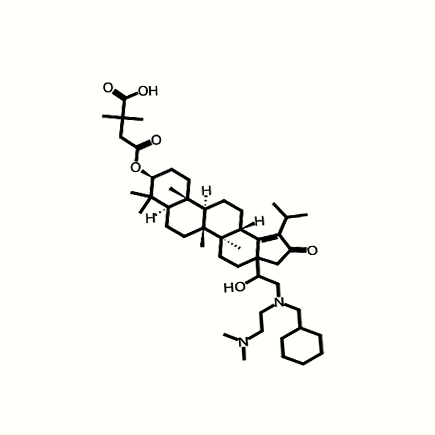 CC(C)C1=C2[C@H]3CC[C@@H]4[C@@]5(C)CC[C@H](OC(=O)CC(C)(C)C(=O)O)C(C)(C)[C@@H]5CC[C@@]4(C)[C@]3(C)CCC2(C(O)CN(CCN(C)C)CC2CCCCC2)CC1=O